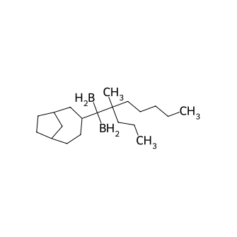 BC(B)(C1CCC2CCC(C2)C1)C(C)(CCC)CCCCC